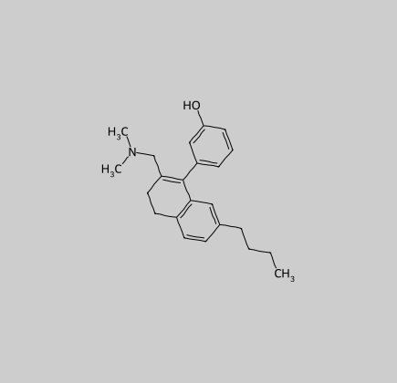 CCCCc1ccc2c(c1)C(c1cccc(O)c1)=C(CN(C)C)CC2